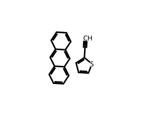 C#Cc1cccs1.c1ccc2cc3ccccc3cc2c1